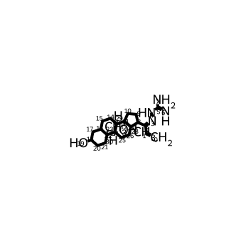 C=C/C(=N/NC(=N)N)C1CC[C@@]2(O)[C@@H]3CCC4CC(O)CC[C@]4(C)[C@@H]3CC[C@]12C